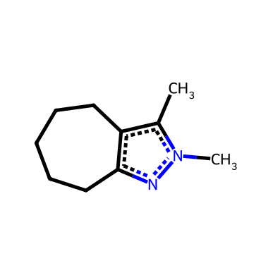 Cc1c2c(nn1C)CCCCC2